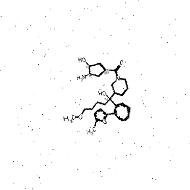 COCCCC[C@@](O)(c1ccccc1-c1ccc(C)o1)C1CCCN(C(=O)[C@H]2C[C@@H](N)[C@@H](O)C2)C1